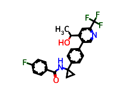 CC(O)c1cc(C(F)(F)F)ncc1-c1ccc(C2(NC(=O)c3ccc(F)cc3)CC2)cc1